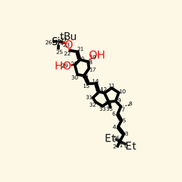 CCC(C)(/C=C/C=C/[C@@H](C)C1CCC2/C(=C/C=C3C[C@@H](O)C(=CCO[Si](C)(C)C(C)(C)C)[C@H](O)C3)CCCC21C)CC